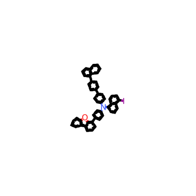 Ic1cccc2c(N(c3ccc(-c4ccc(-c5cccc6ccccc56)cc4)cc3)c3ccc(-c4cccc5c4oc4ccccc45)cc3)cccc12